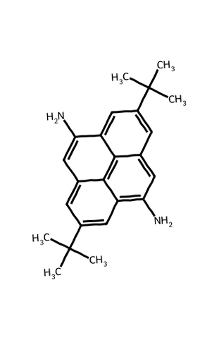 CC(C)(C)c1cc2cc(N)c3cc(C(C)(C)C)cc4cc(N)c(c1)c2c43